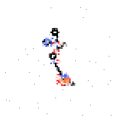 CO[PH](=O)C(NC(=O)CCCCC(=O)N(C)c1ccc2c(c1)OB([C@@H](CC(C)C)NC(=O)[C@@H](Cc1ccccc1)NC(=O)c1cnccn1)O2)P(=O)(O)O